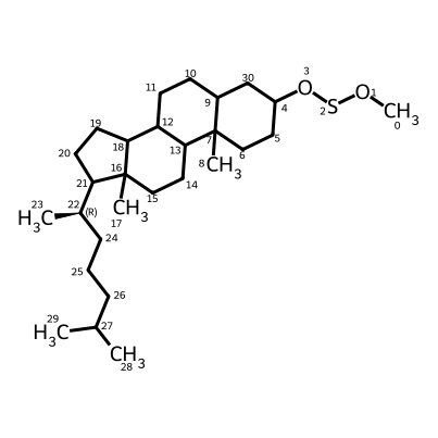 COSOC1CCC2(C)C(CCC3C2CCC2(C)C3CCC2[C@H](C)CCCC(C)C)C1